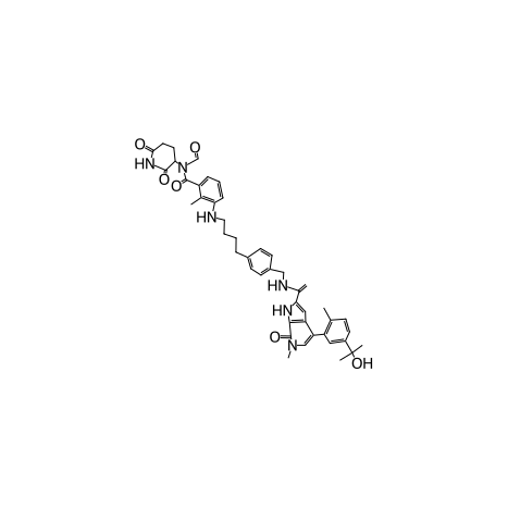 C=C(NCc1ccc(CCCCNc2cccc(C(=O)N(C=O)C3CCC(=O)NC3=O)c2C)cc1)c1cc2c(-c3cc(C(C)(C)O)ccc3C)cn(C)c(=O)c2[nH]1